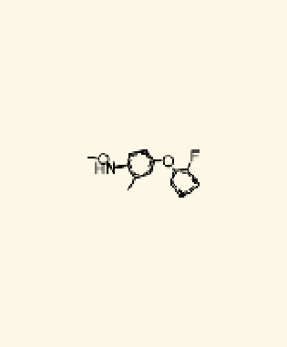 CONc1ccc(Oc2ccccc2F)cc1C